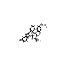 COc1cc(F)cc(-c2cncc(-c3nc4cc(F)ccc4[nH]3)c2N2CCC(N)CC2)c1